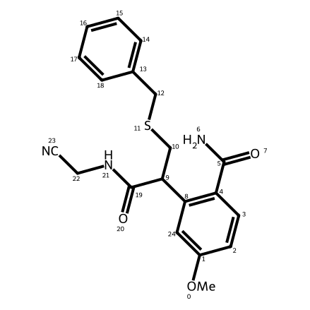 COc1ccc(C(N)=O)c(C(CSCc2ccccc2)C(=O)NCC#N)c1